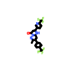 CC1=NN2C(=O)C=C(c3ccc(C(F)(F)F)nc3)NC2C=C1c1ccc(C(F)(F)F)cc1